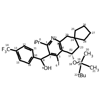 CC(C)c1nc2c(c(I)c1C(O)c1ccc(C(F)(F)F)cc1)[C@@H](O[Si](C)(C)C(C)(C)C)CC1(CCCC1)C2